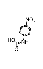 O=[N+]([O-])c1ccc(N[P](=O)O)cc1